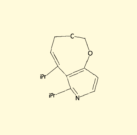 CC(C)/C1=C/CCCOc2ccnc(C(C)C)c21